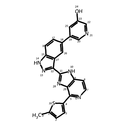 Cc1ccc(-c2nccc3[nH]c(-c4n[nH]c5ccc(-c6cncc(O)c6)cc45)nc23)s1